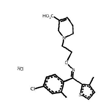 Cc1cc(Cl)ccc1/C(=N\OCCN1CCC=C(C(=O)O)C1)c1sccc1C.Cl